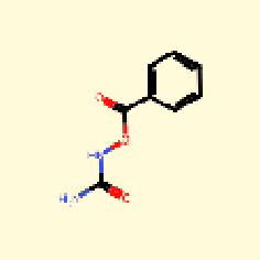 NC(=O)NOC(=O)c1ccccc1